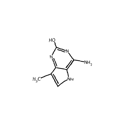 Cc1c[nH]c2c(N)nc(O)nc12